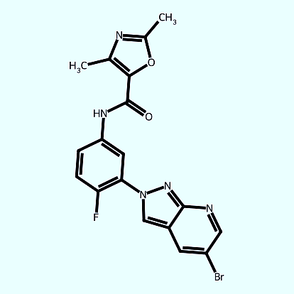 Cc1nc(C)c(C(=O)Nc2ccc(F)c(-n3cc4cc(Br)cnc4n3)c2)o1